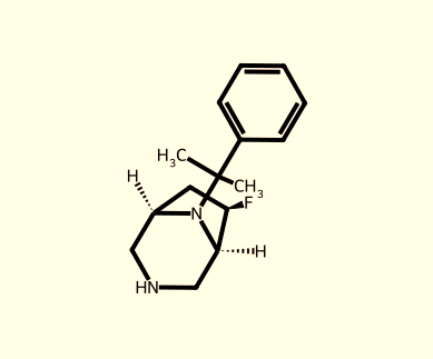 CC(C)(c1ccccc1)N1[C@H]2CNC[C@@H]1[C@H](F)C2